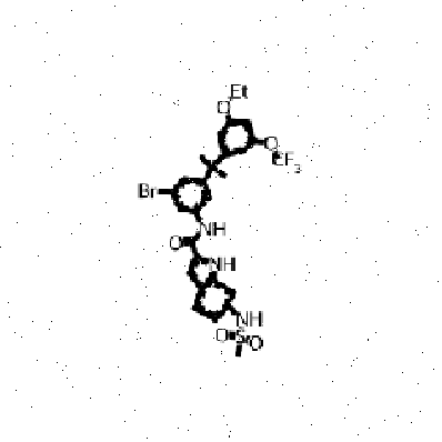 CCOc1cc(OC(F)(F)F)cc(C(C)(C)c2cc(Br)cc(NC(=O)c3cc4ccc(NS(C)(=O)=O)cc4[nH]3)c2)c1